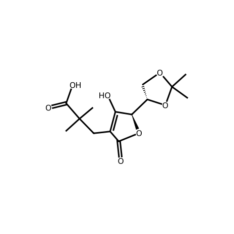 CC1(C)OC[C@@H]([C@H]2OC(=O)C(CC(C)(C)C(=O)O)=C2O)O1